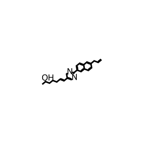 C=CCc1ccc2cc(-c3ncc(C=CCCCC(C)O)cn3)ccc2c1